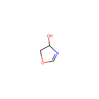 OC1COC=N1